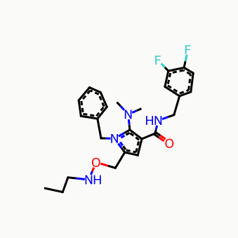 CCCNOCc1cc(C(=O)NCc2ccc(F)c(F)c2)c(N(C)C)n1Cc1ccccc1